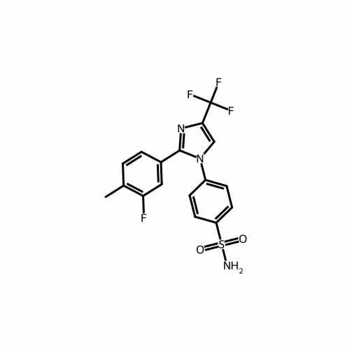 Cc1ccc(-c2nc(C(F)(F)F)cn2-c2ccc(S(N)(=O)=O)cc2)cc1F